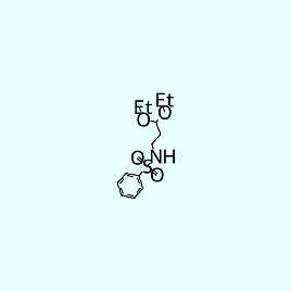 CCOC(CCNS(=O)(=O)c1ccccc1)OCC